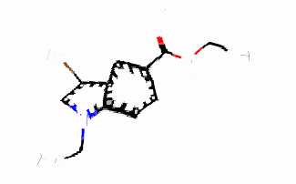 CCOC(=O)c1ccc2c(c1)c(Br)cn2CC